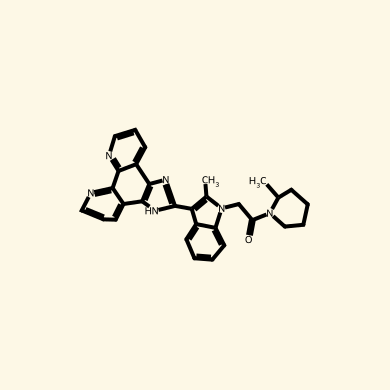 Cc1c(-c2nc3c4cccnc4c4ncccc4c3[nH]2)c2ccccc2n1CC(=O)N1CCCCC1C